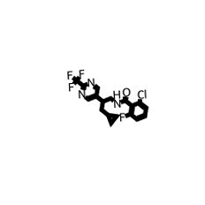 O=C(NCC(CC1CC1)c1cnc(C(F)(F)F)nc1)c1c(F)cccc1Cl